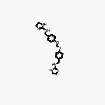 c1cc(OCOc2ccc(CNC3=NCCN3)cc2)ccc1CNC1=NCCN1